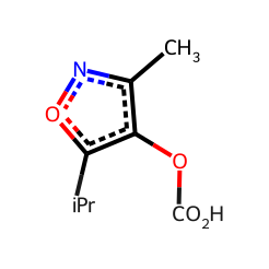 Cc1noc(C(C)C)c1OC(=O)O